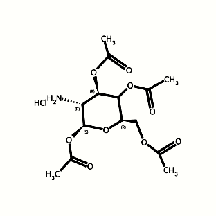 CC(=O)OC[C@H]1O[C@@H](OC(C)=O)[C@H](N)[C@@H](OC(C)=O)C1OC(C)=O.Cl